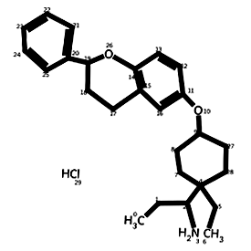 CCC(N)C1(CC)CCC(Oc2ccc3c(c2)CCC(c2ccccc2)O3)CC1.Cl